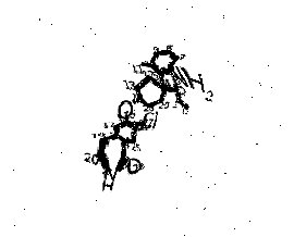 CCC(N)C1(c2ccccc2C)CCC(Oc2cc3cc[nH]c(=O)c3cc2Cl)CC1